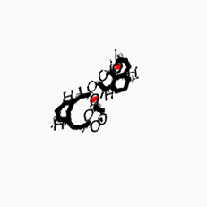 C[C@@H]1[C@@H]2CC[C@@H](C)[C@H](CC[C@]3(C)OOC[C@H](O[C@H]1O[C@H]1O[C@@H]4O[C@]5(C)CC[C@H]6[C@H](C)CC[C@@H]([C@H]1C)[C@@]46OO5)O3)C2